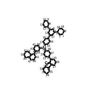 c1ccc(-c2cc(-c3ccccc3)cc(-c3ccc(N(c4ccc(-c5cccc6c5sc5ccccc56)cc4)c4cccc(-c5cccc6ccccc56)c4)cc3)c2)cc1